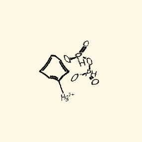 Cc1ccccc1.O=[PH]([O-])O[PH](=O)[O-].[Hg+2]